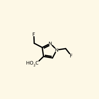 O=C(O)c1cn(CF)nc1CF